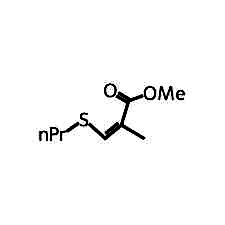 [CH2]CCSC=C(C)C(=O)OC